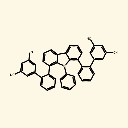 N#Cc1cc(C#N)cc(-c2ccccc2-c2cccc3c4cccc(-c5ccccc5-c5cc(C#N)cc(C#N)c5)c4n(-c4ccccc4)c23)c1